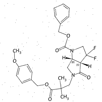 COc1ccc(COC(=O)C(C)(C)CN2C[C@H]3[C@@H](C2=O)C(F)(F)CN3C(=O)OCc2ccccc2)cc1